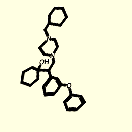 OC1(C(CN2CCN(CC3CCCCC3)CC2)c2cccc(Oc3ccccc3)c2)CCCCC1